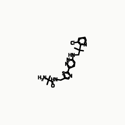 CC(C)(N)C(=O)NCc1cnc(-c2ccc(NCC(C)(C)c3ncccc3Cl)nn2)s1